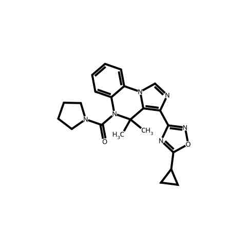 CC1(C)c2c(-c3noc(C4CC4)n3)ncn2-c2ccccc2N1C(=O)N1CCCC1